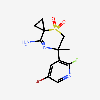 CC1(c2cc(Br)cnc2F)CS(=O)(=O)C2(CC2)C(N)=N1